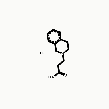 Cl.NC(=O)CCN1CCc2ccccc2C1